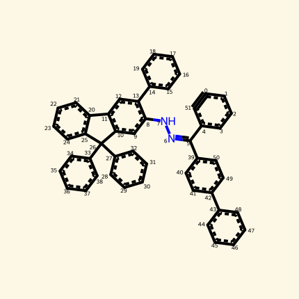 c1cccc(/C(=N\Nc2cc3c(cc2-c2ccccc2)-c2ccccc2C3(c2ccccc2)c2ccccc2)c2ccc(-c3ccccc3)cc2)c#1